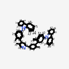 Cc1ccc(-c2cc(-c3cc(-n4c5ccccc5c5ccccc54)ccc3C)c(C)cn2)cc1-c1cc(-n2c3ccccc3c3ccccc32)ccc1C